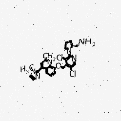 Cc1cc(-c2nccn2C)c2cccc(OCc3c(Cl)cnc(N4CCC[C@H]4CN)c3Cl)c2n1